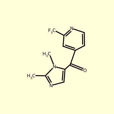 Cc1ncc(C(=O)c2ccnc(C(F)(F)F)c2)n1C